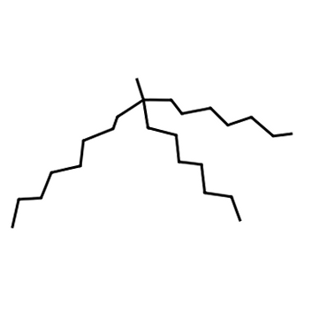 CCCCCCCCC(C)(CCCCCCC)CCCCCCC